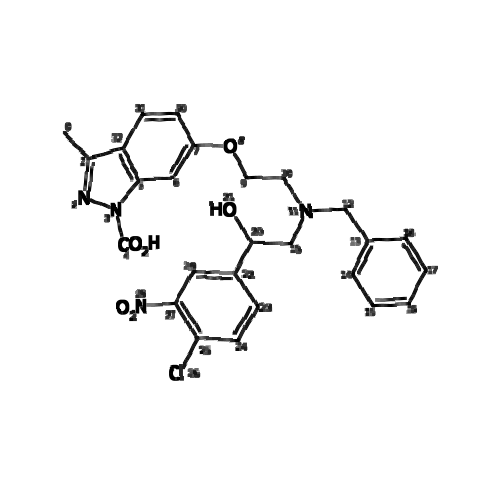 Cc1nn(C(=O)O)c2cc(OCCN(Cc3ccccc3)CC(O)c3ccc(Cl)c([N+](=O)[O-])c3)ccc12